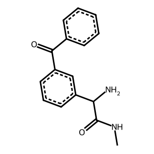 CNC(=O)C(N)c1cccc(C(=O)c2ccccc2)c1